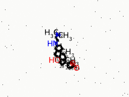 CN(C)CCNC1CC[C@@]2(C)C(CCC3C2CC[C@]2(C)[C@@H](c4ccc(=O)oc4)CC[C@]32O)C1